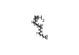 CC(C)CCCC(C)CCCC(C)CCCC(C)CCN